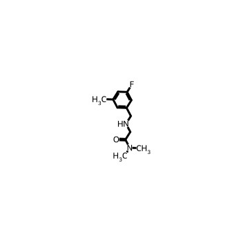 Cc1cc(F)cc(CNCC(=O)N(C)C)c1